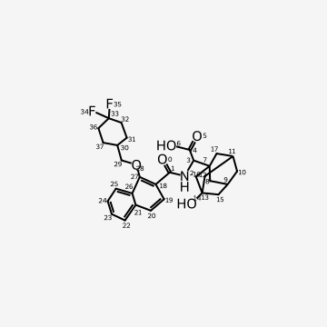 O=C(NC(C(=O)O)C12CC3CC(CC(O)(C3)C1)C2)c1ccc2ccccc2c1OCC1CCC(F)(F)CC1